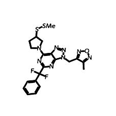 CSSC1CCN(c2nc(C(F)(F)c3ccccc3)nc3c2nnn3Cc2nonc2C)C1